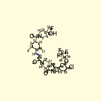 Cc1cc(C(=O)N2CCC(O)(CF)CC2)cc(C)c1/C=C/[S+]([O-])N1CCC2(CC1)N=C(c1ccc(Cl)c(OC(C)(C)C(F)(F)F)c1)NC2=O